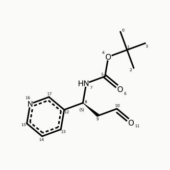 CC(C)(C)OC(=O)N[C@@H](CC=O)c1cccnc1